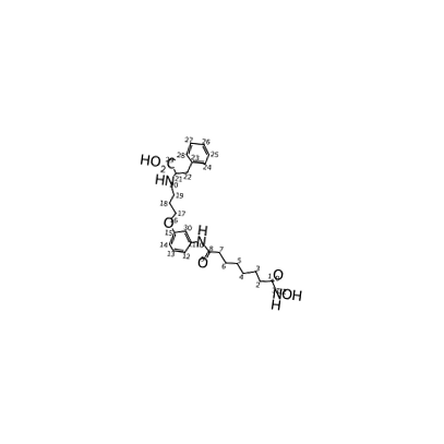 O=C(CCCCCCC(=O)Nc1cccc(OCCCNC(Cc2ccccc2)C(=O)O)c1)NO